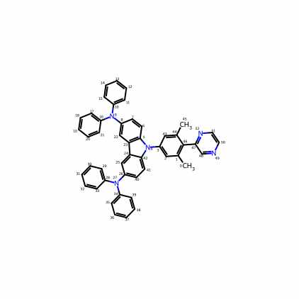 Cc1cc(-n2c3ccc(N(c4ccccc4)c4ccccc4)cc3c3cc(N(c4ccccc4)c4ccccc4)ccc32)cc(C)c1-c1cnccn1